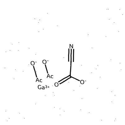 CC(=O)[O-].CC(=O)[O-].N#CC(=O)[O-].[Ga+3]